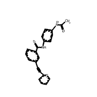 CC(=O)Nc1ccc(NC(=O)c2cccc(C#Cc3ccccn3)c2)cc1